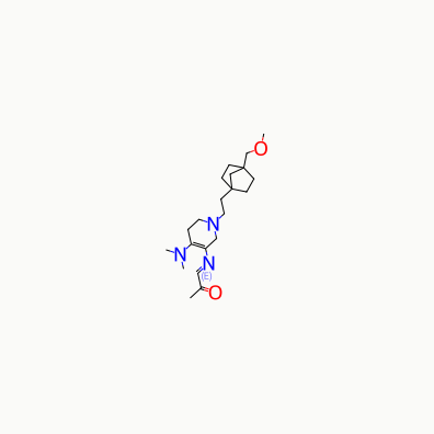 COCC12CCC(CCN3CCC(N(C)C)=C(/N=C/C(C)=O)C3)(CC1)C2